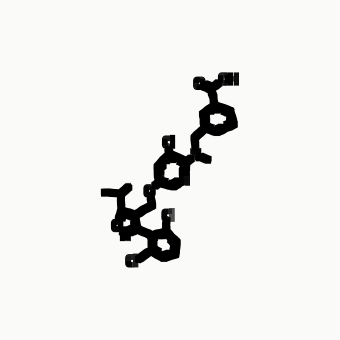 CC(C)c1onc(-c2c(Cl)cccc2Cl)c1COc1cnc(N(C)Cc2cccc(C(=O)O)c2)c(Cl)c1